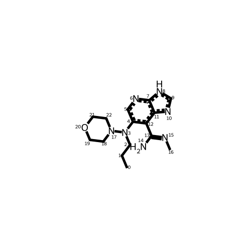 CCCN(c1cnc2[nH]cnc2c1C(N)=NC)N1CCOCC1